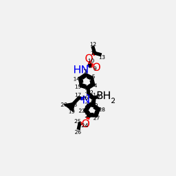 Bc1c(-c2ccc(NC(=O)OC(C)C)cc2)n(CC2CC2)c2cc(OCC)ccc12